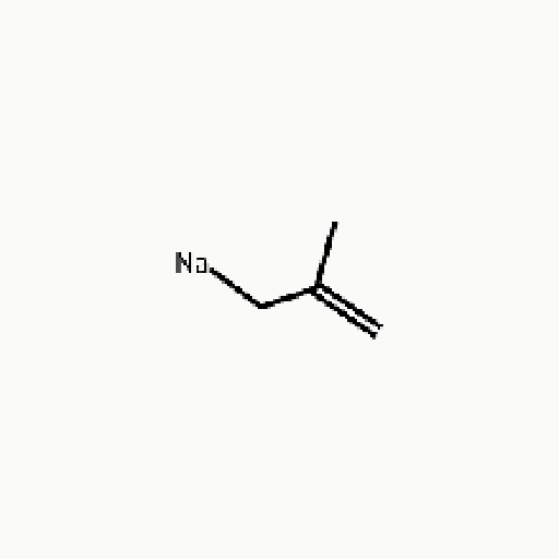 C=C(C)[CH2][Na]